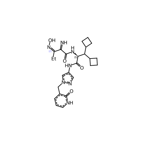 CC/C(=N/O)C(=N)C(=O)N[C@H](C(=O)Nc1cnn(Cc2ccc[nH]c2=O)c1)C(C1CCC1)C1CCC1